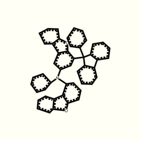 c1ccc(N(c2cc(C3(c4ccccc4)c4ccccc4-c4ccccc43)c3oc4ccccc4c3c2)c2cccc3oc4ccccc4c23)cc1